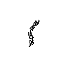 C=CCON=Cc1ccc(OCCN2CCN(c3ccc(C)nn3)CC2)cc1